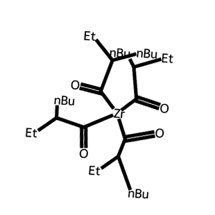 CCCCC(CC)[C](=O)[Zr]([C](=O)C(CC)CCCC)([C](=O)C(CC)CCCC)[C](=O)C(CC)CCCC